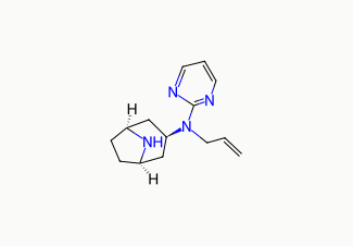 C=CCN(c1ncccn1)[C@H]1C[C@H]2CC[C@@H](C1)N2